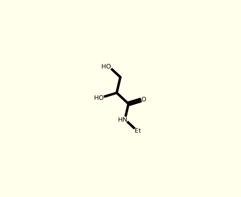 CCNC(=O)C(O)CO